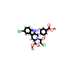 COC(=O)c1ccc([C@H]2c3[nH]c4ccc(Br)cc4c3C[C@H](C(=O)OC)N2C(=O)CCl)cc1